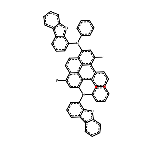 Fc1cc(N(c2ccccc2)c2cccc3c2oc2ccccc23)c2c3ccccc3c3c(F)cc(N(c4ccccc4)c4cccc5c4oc4ccccc45)c4ccc1c2c43